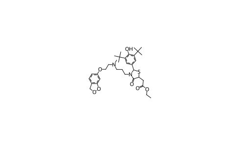 CCOC(=O)CC1SC(c2cc(C(C)(C)C)c(O)c(C(C)(C)C)c2)N(CCCN(C)CCOc2ccc3c(c2)OOC3)C1=O